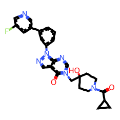 O=C(C1CC1)N1CCC(O)(Cn2cnc3c(cnn3-c3cccc(-c4cncc(F)c4)c3)c2=O)CC1